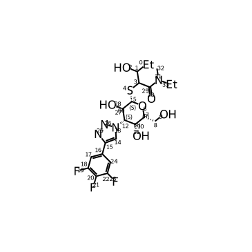 CCC(O)C(S[C@@H]1O[C@H](CO)[C@H](O)[C@H](n2cc(-c3cc(F)c(F)c(F)c3)nn2)[C@H]1O)C(=O)N(C)CC